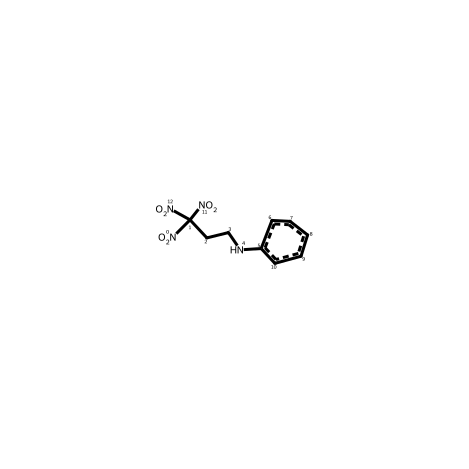 O=[N+]([O-])C(CCNc1ccccc1)([N+](=O)[O-])[N+](=O)[O-]